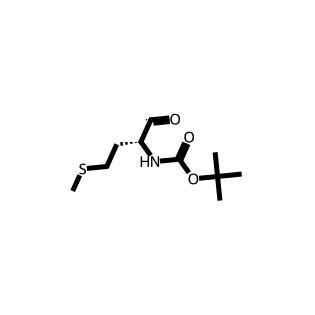 CSCC[C@H]([C]=O)NC(=O)OC(C)(C)C